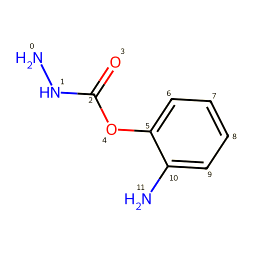 NNC(=O)Oc1ccccc1N